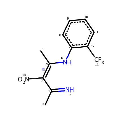 CC(=N)/C(=C(/C)Nc1ccccc1C(F)(F)F)[N+](=O)[O-]